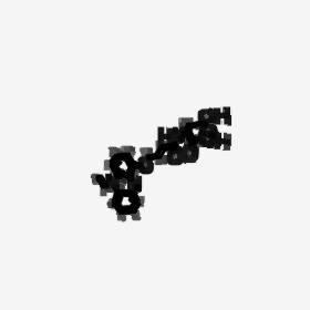 CC[n+]1c2ccccc2nc2c(OCCCC(=O)NC(CC(=O)O)C(=O)O)cccc21